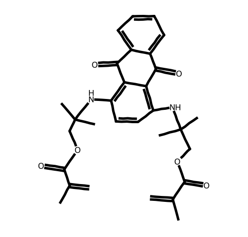 C=C(C)C(=O)OCC(C)(C)Nc1ccc(NC(C)(C)COC(=O)C(=C)C)c2c1C(=O)c1ccccc1C2=O